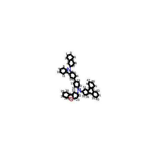 c1ccc2cc(-n3c4ccccc4c4cc(-c5ccc(N(c6ccc7oc8ccccc8c7c6)c6ccc7c8ccccc8c8ccccc8c7c6)cc5)ccc43)ccc2c1